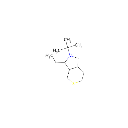 CCC1C2CSCCC2CN1C(C)(C)C